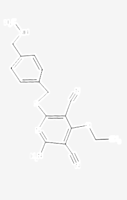 CCOc1c(C#N)c(N)nc(SCc2ccc(CNC)cc2)c1C#N